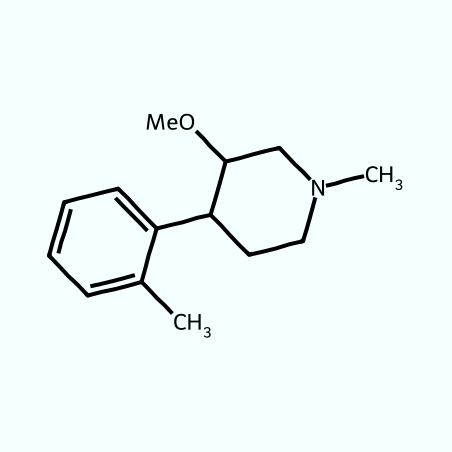 COC1CN(C)CCC1c1ccccc1C